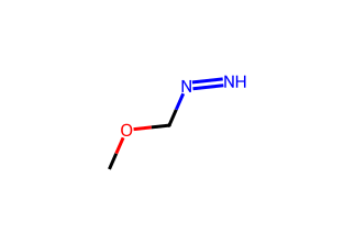 COCN=N